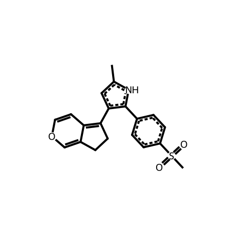 Cc1cc(C2=C3C=COC=C3CC2)c(-c2ccc(S(C)(=O)=O)cc2)[nH]1